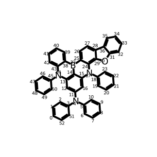 c1ccc(N(c2ccccc2)c2cc3c4c(c2)N(c2ccccc2)c2c(ccc5c2oc2ccccc25)B4c2ccccc2N3c2ccccc2)cc1